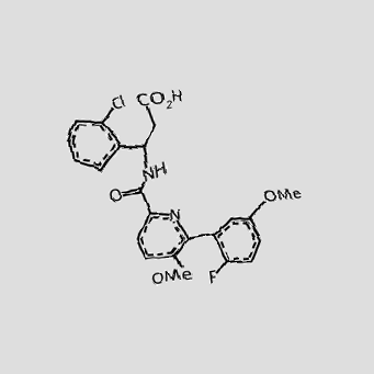 COc1ccc(F)c(-c2nc(C(=O)NC(CC(=O)O)c3ccccc3Cl)ccc2OC)c1